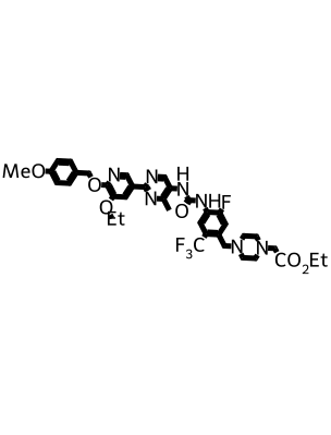 CCOC(=O)CN1CCN(Cc2cc(F)c(NC(=O)Nc3cnc(-c4cnc(OCc5ccc(OC)cc5)c(OCC)c4)nc3C)cc2C(F)(F)F)CC1